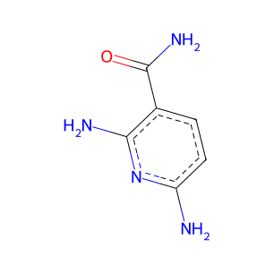 NC(=O)c1ccc(N)nc1N